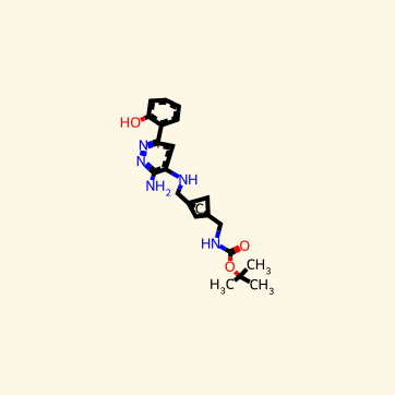 CC(C)(C)OC(=O)NCC12CC(CNc3cc(-c4ccccc4O)nnc3N)(C1)C2